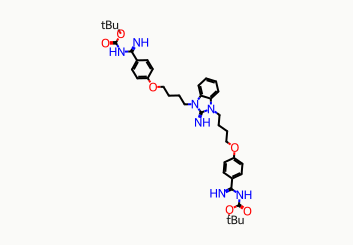 CC(C)(C)OC(=O)NC(=N)c1ccc(OCCCCn2c(=N)n(CCCCOc3ccc(C(=N)NC(=O)OC(C)(C)C)cc3)c3ccccc32)cc1